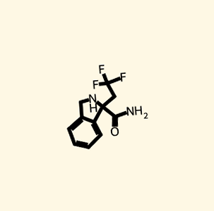 NC(=O)C1(CC(F)(F)F)NCc2ccccc21